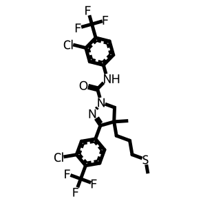 CSCCCC1(C)CN(C(=O)Nc2ccc(C(F)(F)F)c(Cl)c2)N=C1c1ccc(C(F)(F)F)c(Cl)c1